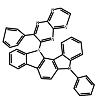 c1ccc(-c2nc3nccnc3nc2-n2c3ccccc3c3ccc4c(c5ccccc5n4-c4ccccc4)c32)cc1